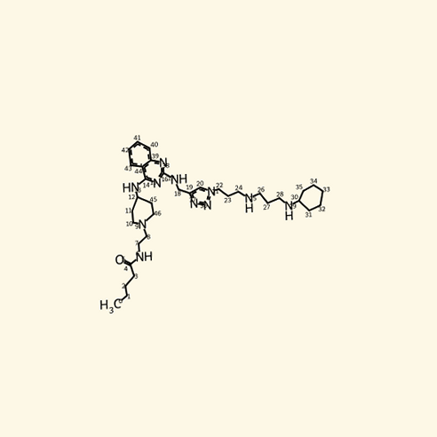 CCCCC(=O)NCCN1CCC(Nc2nc(NCc3cn(CCCNCCCNC4CCCCC4)nn3)nc3ccccc23)CC1